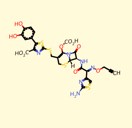 C#CCON=C(C(=O)N[C@@H]1C(=O)N2C(OC(=O)O)=C(CSc3nc(C(=O)O)c(-c4ccc(O)c(O)c4)s3)CS[C@@H]12)c1csc(N)n1